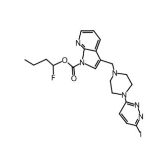 CCCC(F)OC(=O)n1cc(CN2CCN(c3ccc(I)nn3)CC2)c2cccnc21